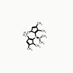 CC1=CC(C)[C]([Ti]([C]2=C(C)C=C(C)C2C)=[Si](C)C)=C1C